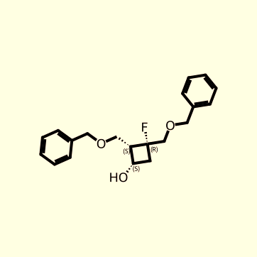 O[C@H]1C[C@](F)(COCc2ccccc2)[C@H]1COCc1ccccc1